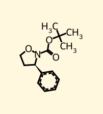 CC(C)(C)OC(=O)N1OCC[C@@H]1c1ccccc1